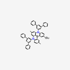 Cc1ccc2c(c1)B1c3cc(C(C)(C)C)ccc3N(c3cc(-c4ccccc4)cc(-c4ccccc4)c3)c3cc(C)cc(c31)N2c1cc(-c2ccccc2)cc(-c2ccccc2)c1